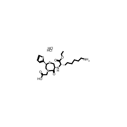 CCOC(=O)[C@H](CCCCCCN)N[C@H]1CS[C@H](c2cccs2)CN(CC(=O)O)C1=O.Cl.Cl